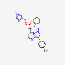 Cn1cnc(COC(=O)C(C)(Cc2ccccc2)C2=CC=NC3=C(c4ccc(C(F)(F)F)cc4)CNN23)c1